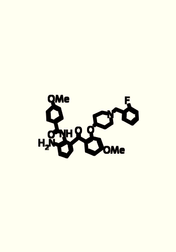 COc1ccc(C(=O)Nc2c(N)cccc2C(=O)c2ccc(OC)cc2OC2CCN(Cc3ccccc3F)CC2)cc1